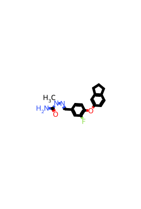 CN(N=Cc1ccc(Oc2ccc3c(c2)CCC3)c(F)c1)C(N)=O